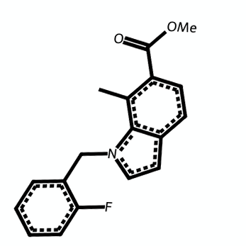 COC(=O)c1ccc2ccn(Cc3ccccc3F)c2c1C